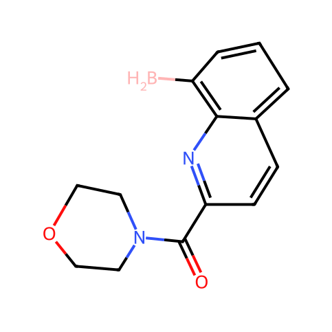 Bc1cccc2ccc(C(=O)N3CCOCC3)nc12